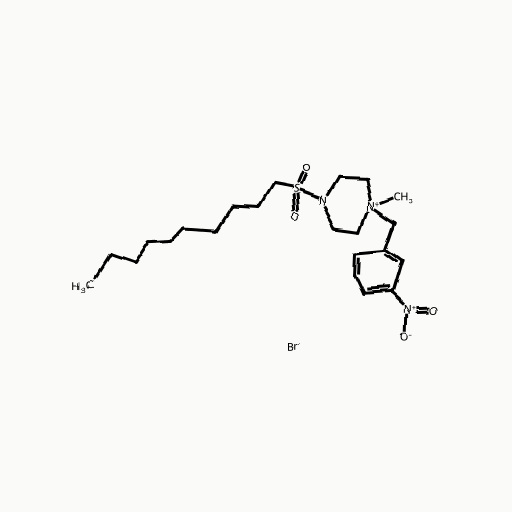 CCCCCCCCCCS(=O)(=O)N1CC[N+](C)(Cc2cccc([N+](=O)[O-])c2)CC1.[Br-]